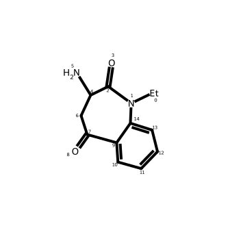 CCN1C(=O)C(N)CC(=O)c2ccccc21